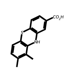 Cc1ccc2c(c1C)Nc1cc(C(=O)O)ccc1S2